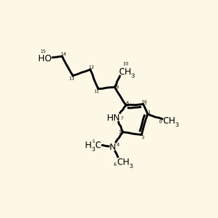 CC1=CC(N(C)C)NC(C(C)CCCCO)=[C]1